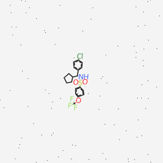 O=S(=O)(N[C@@H](c1ccc(Cl)cc1)C1CCCC1)c1ccc(OC(F)(F)F)cc1